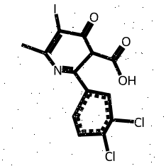 CC1=C(I)C(=O)C(C(=O)O)C(c2ccc(Cl)c(Cl)c2)=N1